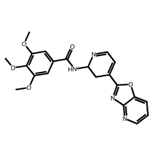 COc1cc(C(=O)NC2CC(c3nc4ncccc4o3)=CC=N2)cc(OC)c1OC